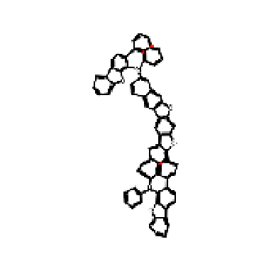 c1ccc(-c2ccc3c(oc4ccccc43)c2N(c2ccccc2)c2ccc3cc4c(cc3c2)oc2cc3oc5cc6cc(N(c7ccccc7)c7c(-c8ccccc8)ccc8c7oc7ccccc78)ccc6cc5c3cc24)cc1